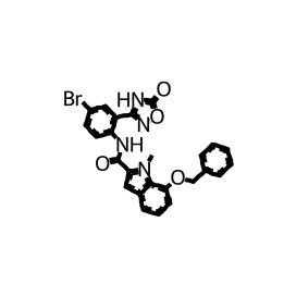 Cn1c(C(=O)Nc2ccc(Br)cc2-c2noc(=O)[nH]2)cc2cccc(OCc3ccccc3)c21